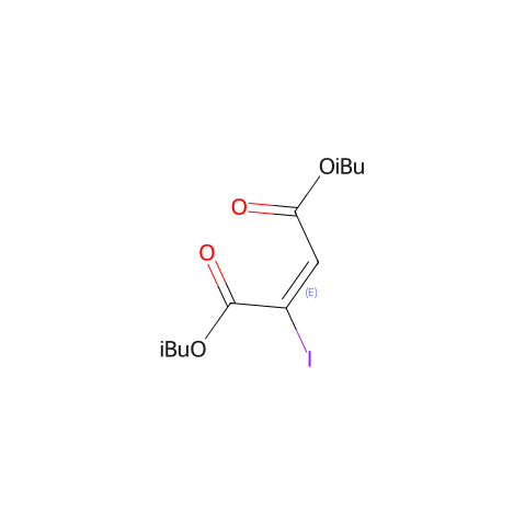 CC(C)COC(=O)/C=C(/I)C(=O)OCC(C)C